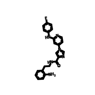 Nc1ccccc1CCNC(=O)c1cn(-c2ccnc(Nc3ccc(F)cc3)c2)cn1